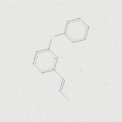 O=[N+]([O-])/C=C/c1cccc(Oc2ccccc2)c1